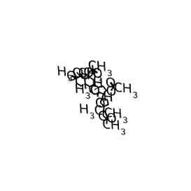 CC(=O)O[C@H]1C[C@@]2(C)[C@@H]3C[C@H](OC(C)=O)[C@H]4C(C)(C)C(=O)CC[C@@]45C[C@@]35CC[C@@]23C[C@@]2(CCC(C(C)(C)OC(C)=O)O2)[C@@H]13